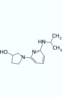 CC(C)Nc1cccc(N2CCC(O)C2)n1